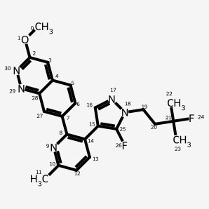 COc1cc2ccc(-c3nc(C)ccc3-c3cnn(CCC(C)(C)F)c3F)cc2nn1